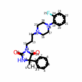 CC1(c2ccccc2)NC(=O)N(CCCN2CCN(c3ccccc3F)CC2)C1=O